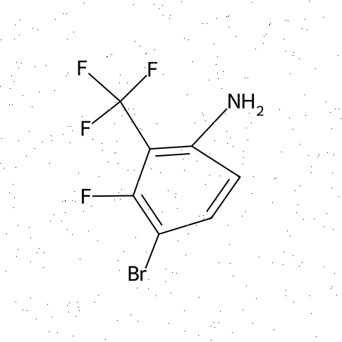 Nc1ccc(Br)c(F)c1C(F)(F)F